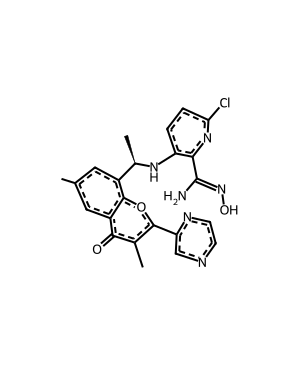 Cc1cc([C@@H](C)Nc2ccc(Cl)nc2/C(N)=N/O)c2oc(-c3cnccn3)c(C)c(=O)c2c1